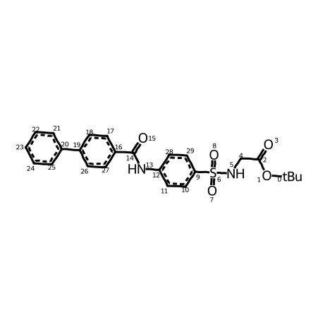 CC(C)(C)OC(=O)CNS(=O)(=O)c1ccc(NC(=O)c2ccc(-c3ccccc3)cc2)cc1